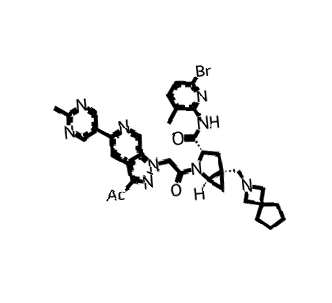 CC(=O)c1nn(CC(=O)N2[C@H](C(=O)Nc3nc(Br)ccc3C)C[C@@]3(CN4CC5(CCCC5)C4)C[C@@H]23)c2cnc(-c3cnc(C)nc3)cc12